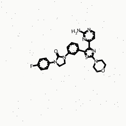 Nc1nccc(-c2nc(N3CCOCC3)sc2-c2cccc(N3CCN(c4ccc(F)cc4)C3=O)c2)n1